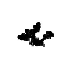 COc1cc2c(cc1OCc1cc(COc3cc4c(cc3OC)C(=O)N3c5ccccc5CC3CN4)cc(NC(=O)C(C)NC(=O)C(C)NC(=O)CCCCC(=O)NCCN3C(=O)C=CC3=O)c1)N=CC1Cc3ccccc3N1C2=O